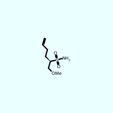 C=CCC[C@H](COC)S(N)(=O)=O